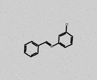 Clc1cccc(N=Cc2ccccc2)c1